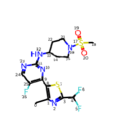 Cc1nc(C(F)F)sc1-c1nc(NC2CCN(S(C)(=O)=O)CC2)ncc1F